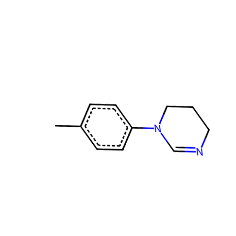 Cc1ccc(N2C=NCCC2)cc1